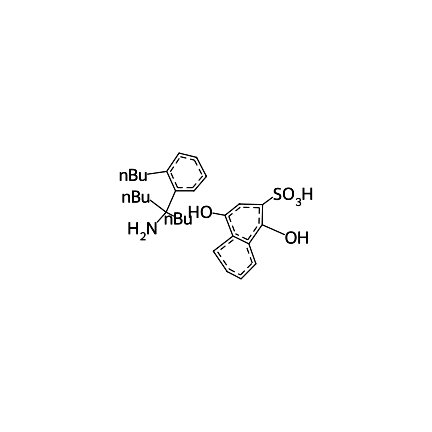 CCCCc1ccccc1C(N)(CCCC)CCCC.O=S(=O)(O)c1cc(O)c2ccccc2c1O